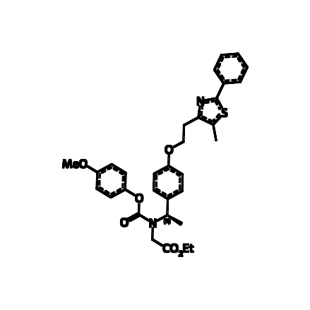 CCOC(=O)CN(C(=O)Oc1ccc(OC)cc1)[C@H](C)c1ccc(OCCc2nc(-c3ccccc3)sc2C)cc1